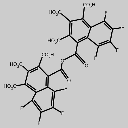 O=C(O)c1c(C(=O)O)c(C(=O)OC(=O)c2c(C(=O)O)c(C(=O)O)c(C(=O)O)c3c(F)c(F)c(F)c(F)c23)c2c(F)c(F)c(F)c(F)c2c1C(=O)O